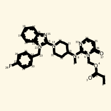 CCC(=O)OCn1c(N(C)C2CCN(c3nc4ccccc4n3Cc3ccc(F)cc3)CC2)nccc1=O